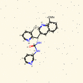 COc1cccc2cc([C@H](NC(=O)Nc3cccnc3)c3ncccc3C(F)(F)F)cnc12